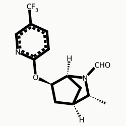 C[C@@H]1[C@H]2C[C@@H](Oc3ccc(C(F)(F)F)cn3)[C@H](C2)N1C=O